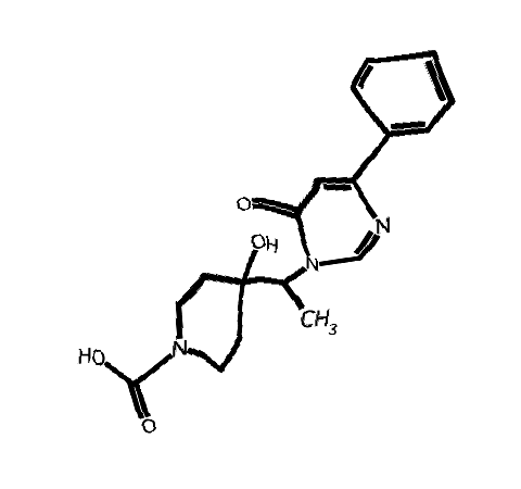 CC(n1cnc(-c2ccccc2)cc1=O)C1(O)CCN(C(=O)O)CC1